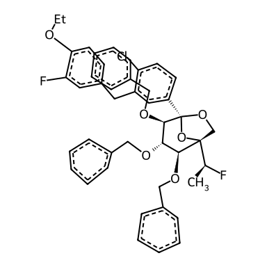 CCOc1ccc(Cc2cc([C@]34OC[C@]([C@H](C)F)(O3)[C@@H](OCc3ccccc3)[C@H](OCc3ccccc3)[C@H]4OCc3ccccc3)ccc2Cl)cc1F